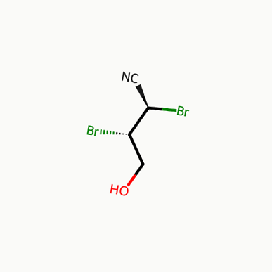 N#C[C@@H](Br)[C@@H](Br)CO